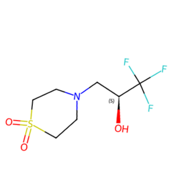 O=S1(=O)CCN(C[C@H](O)C(F)(F)F)CC1